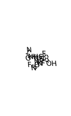 C#Cc1c(F)ccc2cc(O)cc(-c3ncc4c(N5CCCC6(CN(C(=O)[C@@H]7C[C@H]7C#N)C6)C5)nc(OC[C@@]56CCCN5C[C@H](F)C6)nc4c3F)c12